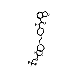 CC(F)(F)COc1nc2c(s1)CCN(CC[C@H]1CC[C@H](NC(=O)c3cccc4c3COC4)CC1)C2